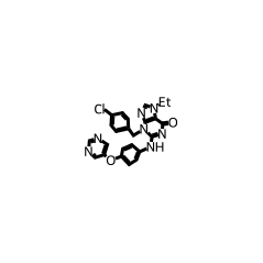 CCn1cnc2c1c(=O)nc(Nc1ccc(Oc3cncnc3)cc1)n2Cc1ccc(Cl)cc1